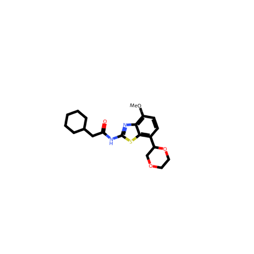 COc1ccc(C2COCCO2)c2sc(NC(=O)CC3CCCCC3)nc12